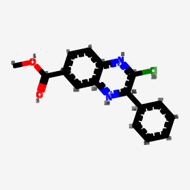 COC(=O)c1ccc2nc(Cl)c(-c3ccccc3)nc2c1